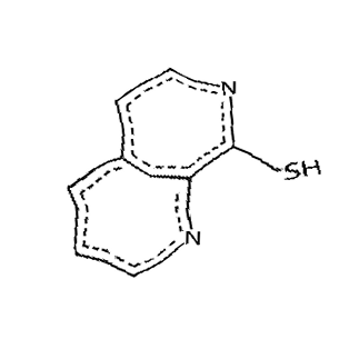 Sc1nccc2cccnc12